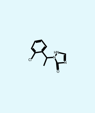 CC(c1ccccc1Cl)n1[nH]cnc1=O